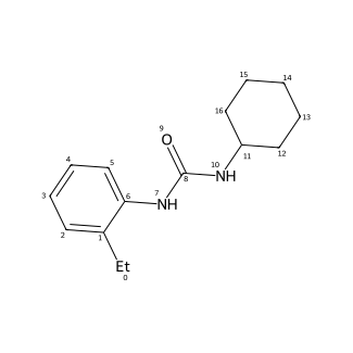 [CH2]Cc1ccccc1NC(=O)NC1CCCCC1